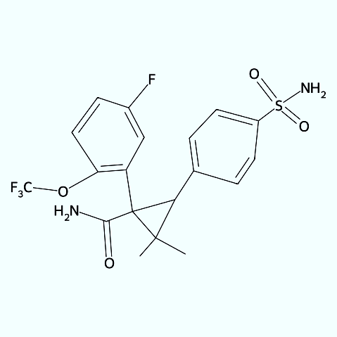 CC1(C)C(c2ccc(S(N)(=O)=O)cc2)C1(C(N)=O)c1cc(F)ccc1OC(F)(F)F